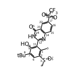 Cc1c([S+](C)[O-])cc(C(C)(C)C)c(O)c1-c1nc2ccc(S(=O)(=O)C(F)(F)F)cc2c(=O)[nH]1